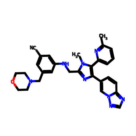 Cc1cccc(-c2c(-c3ccc4ncnn4c3)nc(CNc3cc(C#N)cc(CN4CCOCC4)c3)n2C)n1